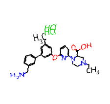 CCN1CCN(c2cccc(Oc3cc(C)cc(-c4cccc(CN)c4)c3)n2)C(C(=O)O)C1.Cl.Cl